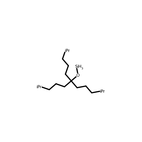 CC(C)CCCC(CCCC(C)C)(CCCC(C)C)O[SiH3]